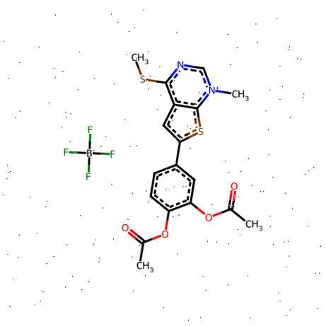 CSc1nc[n+](C)c2sc(-c3ccc(OC(C)=O)c(OC(C)=O)c3)cc12.F[B-](F)(F)F